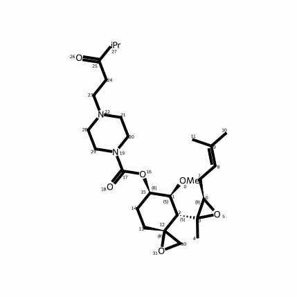 CO[C@H]1[C@H](C2(C)O[C@@H]2CC=C(C)C)[C@]2(CC[C@H]1OC(=O)N1CCN(CCC(=O)C(C)C)CC1)CO2